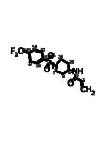 C=CC(=O)NC1CCN(S(=O)(=O)c2ccc(C(F)(F)F)cc2)CC1